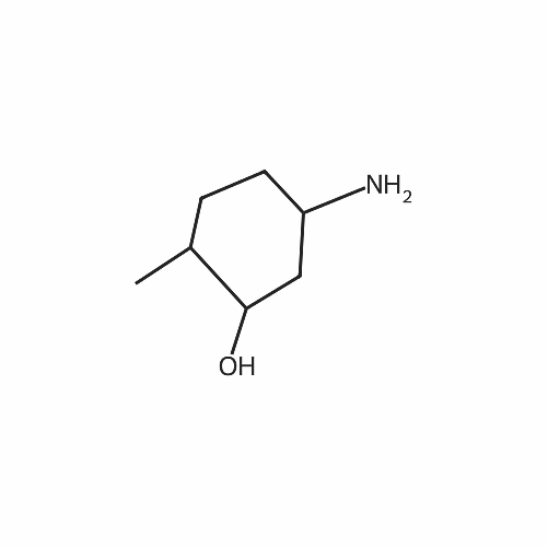 CC1CCC(N)CC1O